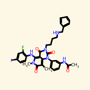 CC(=O)Nc1cccc(-n2c(=O)n(CCCCNCc3ccccc3)c(=O)c3c(Nc4ccc(I)cc4F)n(C)c(=O)c(C)c32)c1